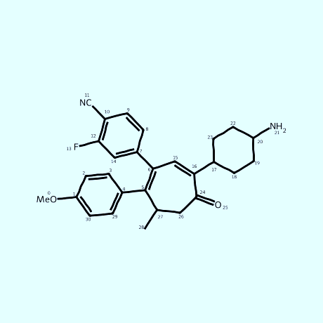 COc1ccc(C2=C(c3ccc(C#N)c(F)c3)C=C(C3CCC(N)CC3)C(=O)CC2C)cc1